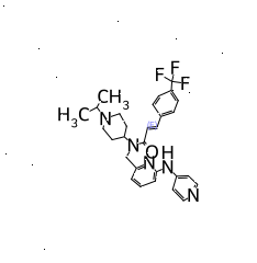 CC(C)N1CCC(N(Cc2cccc(Nc3ccncc3)n2)C(=O)/C=C/c2ccc(C(F)(F)F)cc2)CC1